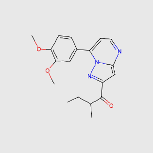 CCC(C)C(=O)c1cc2nccc(-c3ccc(OC)c(OC)c3)n2n1